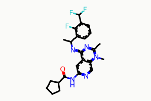 Cc1n/c(=N\C(C)c2cccc(C(F)F)c2F)c2cc(NC(=O)C3CCCC3)ncc2n1C